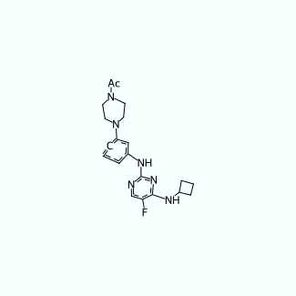 CC(=O)N1CCN(c2cccc(Nc3ncc(F)c(NC4CCC4)n3)c2)CC1